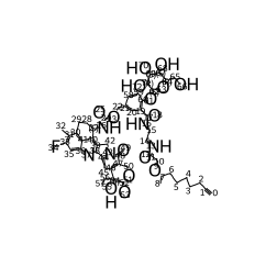 C#CCCCCCC(C)OCC(=O)NCCNC(=O)c1cc(COC(=O)N[C@H]2CCc3c(C)c(F)cc4nc5c(c2c34)Cn2c-5cc3c(c2=O)COC(=O)[C@]3(O)CC)ccc1O[C@@H]1O[C@H](CO)[C@@H](O)[C@H](O)[C@H]1O